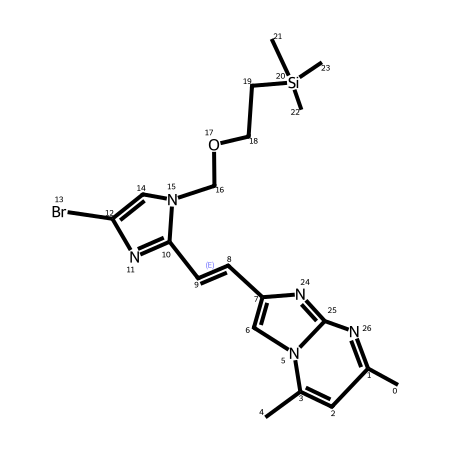 Cc1cc(C)n2cc(/C=C/c3nc(Br)cn3COCC[Si](C)(C)C)nc2n1